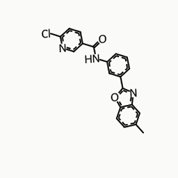 Cc1ccc2oc(-c3cccc(NC(=O)c4ccc(Cl)nc4)c3)nc2c1